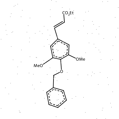 CCOC(=O)C=Cc1cc(OC)c(OCc2ccccc2)c(OC)c1